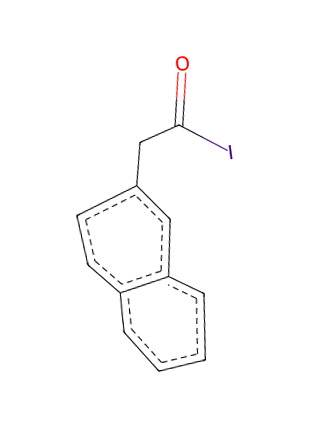 O=C(I)Cc1ccc2ccccc2c1